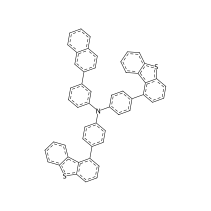 c1cc(-c2ccc3ccccc3c2)cc(N(c2ccc(-c3cccc4sc5ccccc5c34)cc2)c2ccc(-c3cccc4sc5ccccc5c34)cc2)c1